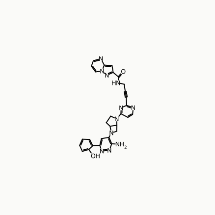 Nc1nnc(-c2ccccc2O)cc1N1CC2C1CCN2c1ccnc(C#CCNC(=O)c2cc3ncccn3n2)n1